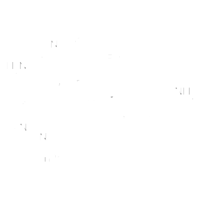 CCCn1cc(-c2c(Oc3ccc(N)cc3F)ccnc2N)cn1